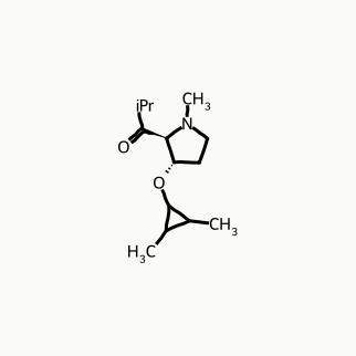 CC(C)C(=O)[C@@H]1[C@@H](OC2C(C)C2C)CCN1C